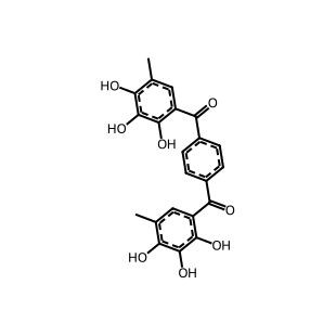 Cc1cc(C(=O)c2ccc(C(=O)c3cc(C)c(O)c(O)c3O)cc2)c(O)c(O)c1O